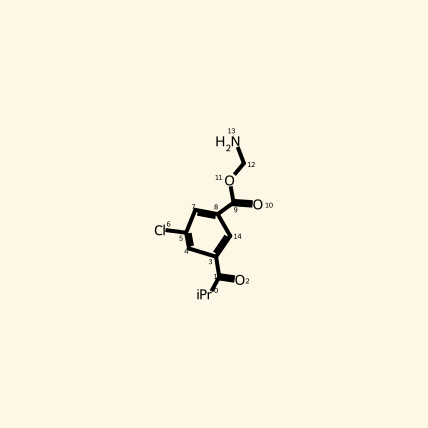 CC(C)C(=O)c1cc(Cl)cc(C(=O)OCN)c1